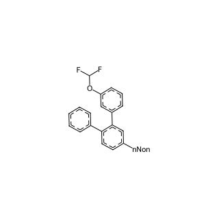 CCCCCCCCCc1ccc(-c2ccccc2)c(-c2cccc(OC(F)F)c2)c1